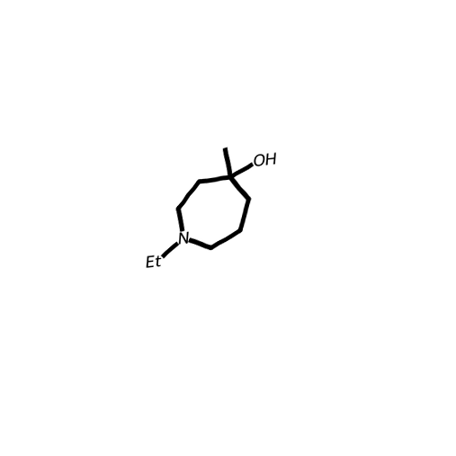 CCN1CCCC(C)(O)CC1